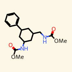 COC(=O)NCC1CC(NC(=O)OC)CC(c2ccccc2)C1